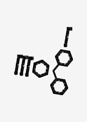 N=C=O.N=C=O.N=C=O.N=C=O.c1ccc(Cc2ccccc2)cc1.c1ccccc1